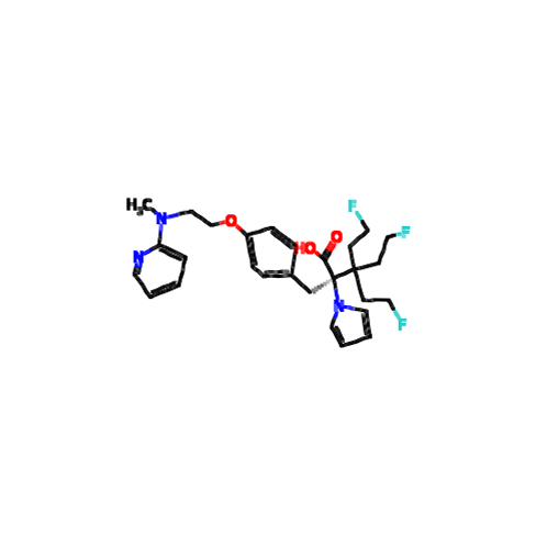 CN(CCOc1ccc(C[C@@](C(=O)O)(n2cccc2)C(CCF)(CCF)CCF)cc1)c1ccccn1